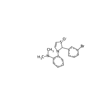 CN(C)c1ccccc1N1C=C[S+]([O-])C1c1cccc(Br)c1